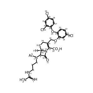 CC(=O)N(CCCNC(=N)N)C1C(=O)N2C(C(=O)O)=C(COc3cc(Cl)ccc3Oc3ccc(Cl)cc3Cl)CS[C@@H]12